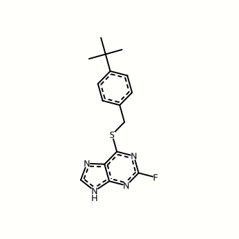 CC(C)(C)c1ccc(CSc2nc(F)nc3[nH]cnc23)cc1